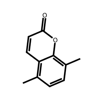 Cc1ccc(C)c2oc(=O)ccc12